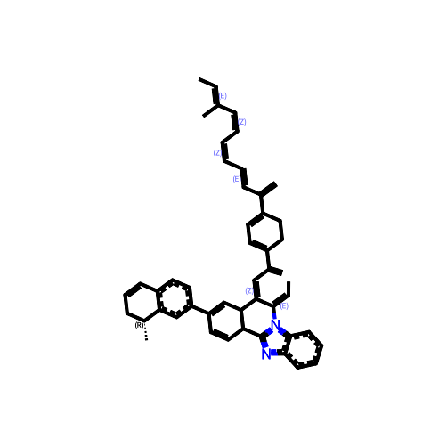 C=C(/C=C1\C(=C/C)n2c(nc3ccccc32)C2C=CC(c3ccc4c(c3)[C@H](C)CC=C4)=CC12)C1=CC=C(C(=C)/C=C/C=C\C=C/C(C)=C/C)CC1